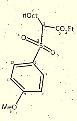 CCCCCCCCC(C(=O)OCC)S(=O)(=O)c1ccc(OC)cc1